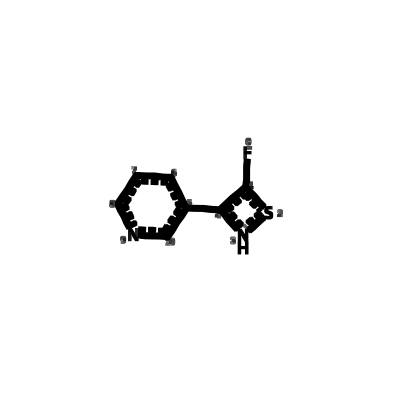 Fc1s[nH]c1-c1cccnc1